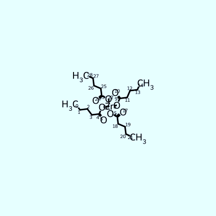 CCCCC(=O)[O][Zr]([O]C(=O)CCCC)([O]C(=O)CCCC)[O]C(=O)CCCC